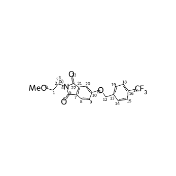 COC[C@H](C)N1C(=O)c2ccc(OCc3ccc(C(F)(F)F)cc3)cc2C1=O